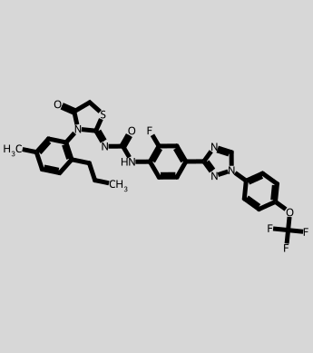 CCCc1ccc(C)cc1N1C(=O)CS/C1=N\C(=O)Nc1ccc(-c2ncn(-c3ccc(OC(F)(F)F)cc3)n2)cc1F